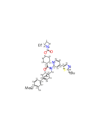 CC[C@@H]1CCN1C(=O)O[C@H]1CC[C@H](C(=O)N(CC23CCC(c4ccc(OC)c(C)c4)(CC2)CC3)c2cc(-c3cnc(C(C)(C)C)s3)ccn2)CC1